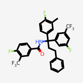 Cc1cc(C(CCc2ccccc2)(NC(=O)c2ccc(F)c(C(F)(F)F)c2)c2cc(F)cc(C(F)(F)F)c2)ccc1F